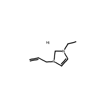 C=CCN1C=CN(CC)C1.I